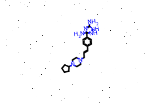 NC1=NC(N)(c2ccc(C=CCN3CCN(C4CCCC4)CC3)cc2)NN1